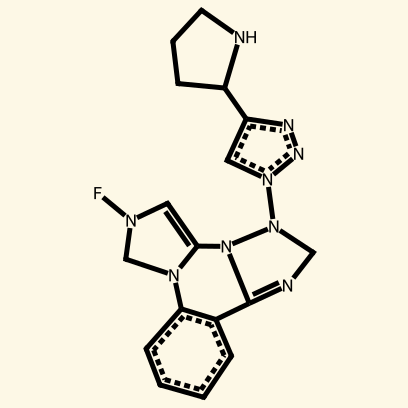 FN1C=C2N(C1)c1ccccc1C1=NCN(n3cc(C4CCCN4)nn3)N21